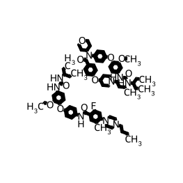 CCCCN1CCC(Oc2ccc(C(=O)N(c3ccc(Oc4ccc(NC(=O)NC(CC)CC)cc4OC)cc3)C3CCOCC3)cc2)CC1.CCCCN1CCN(c2cc(F)c(C(=O)Nc3ccc(Oc4ccc(NC(=O)NC(CC)CC)cc4OCC)cc3)cc2C)CC1